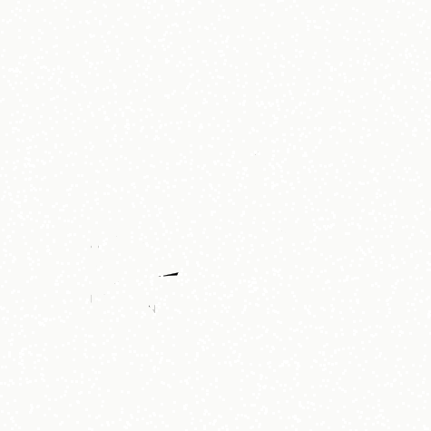 CCC(C)N[C@@](Cc1ccc(OC(=O)C(C)CC)c(OC(=O)C(C)CC)c1)(OC(=O)C(C)CC)C(=O)O